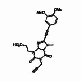 C#CCN1C(=O)C2C(N=C(C#Cc3ccc(OC)c(OC)c3)N2C)N(CCC(=O)O)C1=O